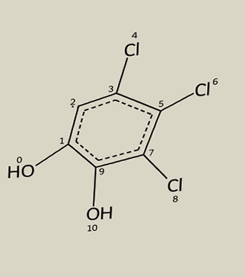 Oc1[c]c(Cl)c(Cl)c(Cl)c1O